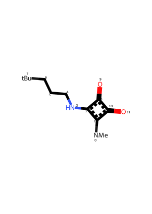 CNc1c(NCCCC(C)(C)C)c(=O)c1=O